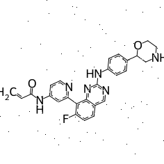 C=CC(=O)Nc1ccnc(-c2c(F)ccc3cnc(Nc4ccc(C5CNCCO5)cc4)nc23)c1